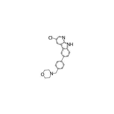 Clc1cnc2[nH]c3ccc(-c4ccc(CN5CCOCC5)cc4)cc3c2c1